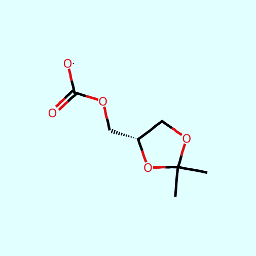 CC1(C)OC[C@@H](COC([O])=O)O1